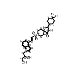 O=C1NC(C2CCC(F)(F)CC2)=NC12CCN(S(=O)(=O)C=Cc1cccc3c1ccn3CC(O)CO)CC2